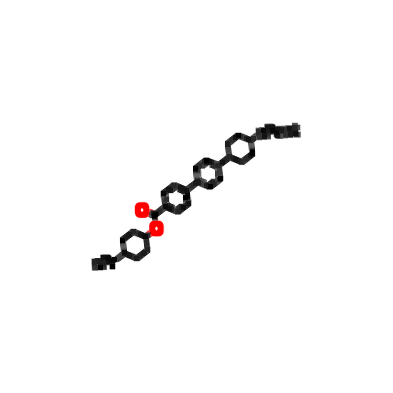 CCCCCC1CCC(c2ccc(-c3ccc(C(=O)OC4CCC(CCC)CC4)cc3)cc2)CC1